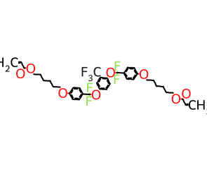 C=CC(=O)OCCCCCCOc1ccc(C(F)(F)Oc2ccc(OC(F)(F)c3ccc(OCCCCCCOC(=O)C=C)cc3)c(C(F)(F)F)c2)cc1